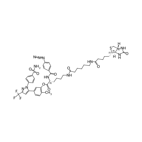 Cc1ccc(-c2cc(C(F)(F)F)nn2-c2ccc(S(N)(=O)=O)cc2)cc1OC(=O)[C@@H](CCCCNC(=O)CCCCCNC(=O)CCCC[C@@H]1SC[C@@H]2NC(=O)N[C@H]21)NC(=O)c1ccc(N=[N+]=[N-])cc1